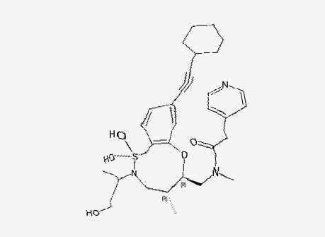 CC(CO)N1C[C@@H](C)[C@H](CN(C)C(=O)Cc2ccncc2)Oc2cc(C#CC3CCCCC3)ccc2S1(O)O